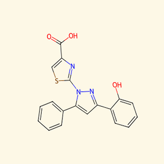 O=C(O)c1csc(-n2nc(-c3ccccc3O)cc2-c2ccccc2)n1